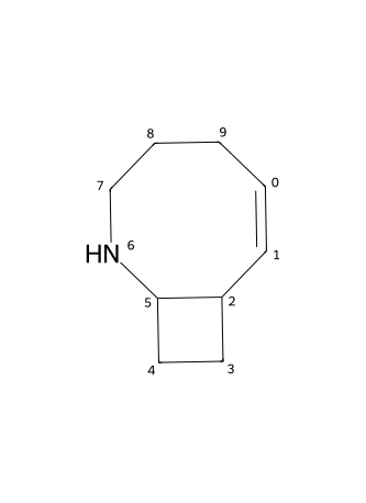 C1=C\C2CCC2NCCC/1